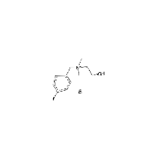 C[N+](C)(CCO)Cc1ccc(I)cc1.[Br-]